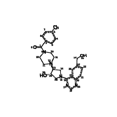 O=C(c1ccc(Cl)cc1)N1CCN([C@H]2CN(c3ncnc4ccc(CO)cc34)C[C@@H]2O)CC1